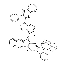 c1ccc(-c2nc3ccccc3nc2-c2cccc3c(-n4c5cc6c(cc5c5cc7ccccc7cc54)-c4ccccc4C64C5CC6CC(C5)CC4C6)cccc23)cc1